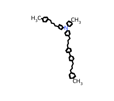 Cc1ccc(CCCCc2ccc(-c3ccc(CCCCc4ccc(N(c5ccc(C)cc5)c5ccc(CCCCc6ccc(C)cc6)cc5)cc4)cc3)cc2)cc1